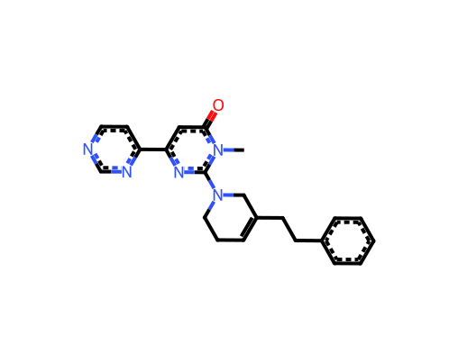 Cn1c(N2CCC=C(CCc3ccccc3)C2)nc(-c2ccncn2)cc1=O